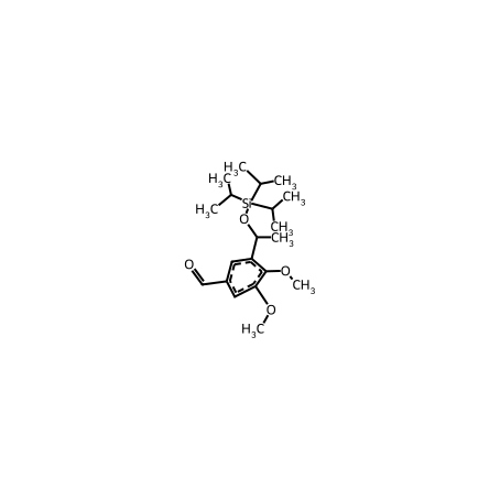 COc1cc(C=O)cc(C(C)O[Si](C(C)C)(C(C)C)C(C)C)c1OC